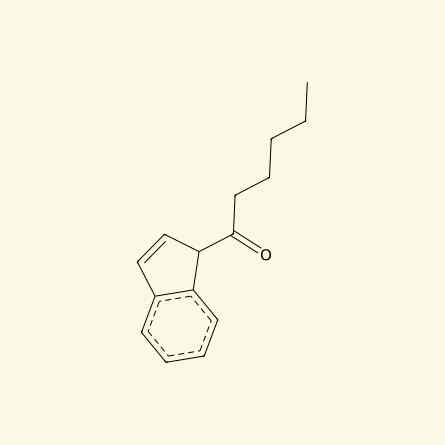 CCCCCC(=O)C1C=Cc2ccccc21